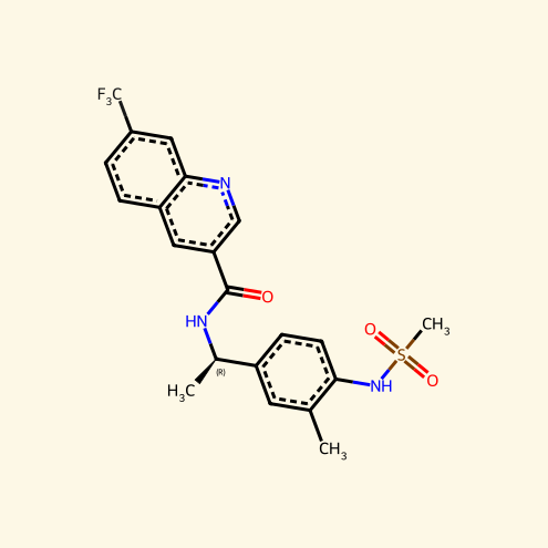 Cc1cc([C@@H](C)NC(=O)c2cnc3cc(C(F)(F)F)ccc3c2)ccc1NS(C)(=O)=O